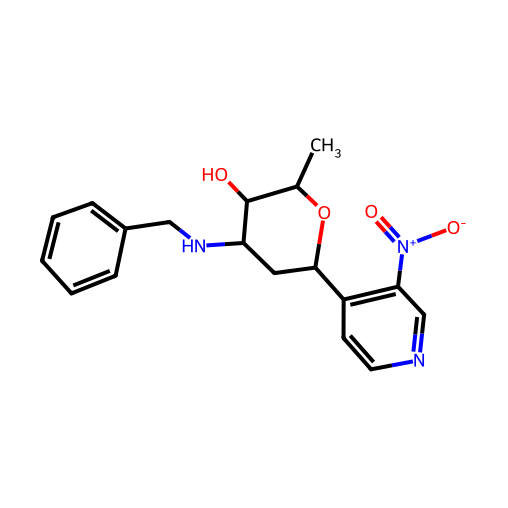 CC1OC(c2ccncc2[N+](=O)[O-])CC(NCc2ccccc2)C1O